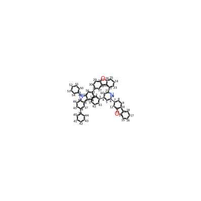 c1ccc(-c2cc(-c3ccc4c(c3)oc3ccccc34)nc(-c3cccc4oc5ccc(-c6ccc7c8cc(-c9ccccc9)ccc8n(-c8ccccc8)c7c6)cc5c34)c2)cc1